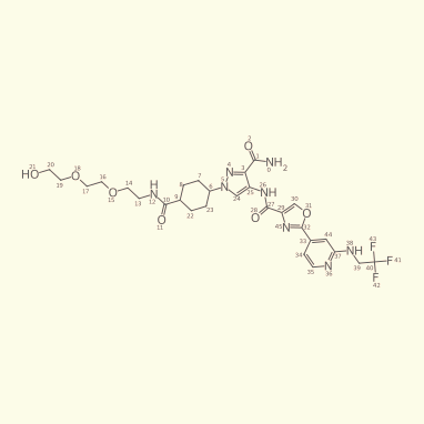 NC(=O)c1nn(C2CCC(C(=O)NCCOCCOCCO)CC2)cc1NC(=O)c1coc(-c2ccnc(NCC(F)(F)F)c2)n1